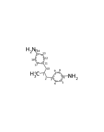 CC(Cc1ccc(N)cc1)Cc1ccc(N)cc1